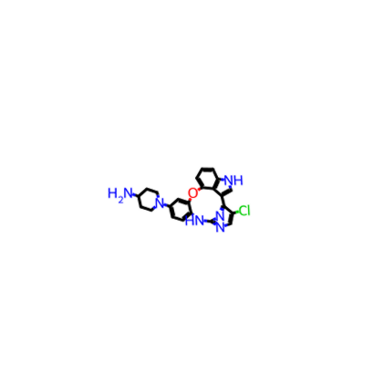 NC1CCN(c2ccc3[nH]c4ncc(Cl)c(n4)c4c[nH]c5cccc(oc3c2)c54)CC1